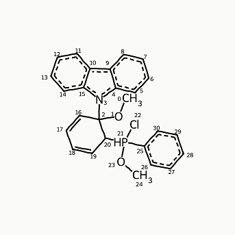 COC1(n2c3ccccc3c3ccccc32)C=CC=CC1[PH](Cl)(OC)c1ccccc1